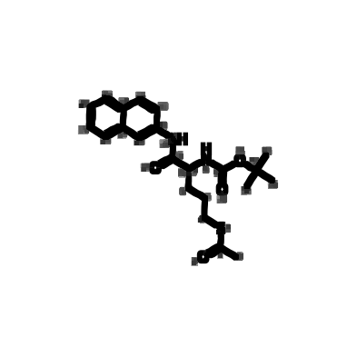 CC(=O)SCCC[C@H](NC(=O)OC(C)(C)C)C(=O)Nc1ccc2ccccc2c1